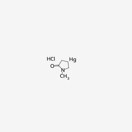 CN1CCCC1=O.Cl.[Hg]